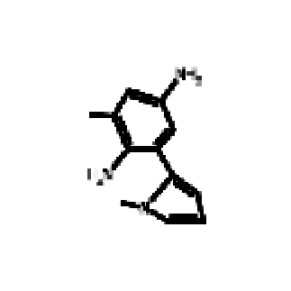 Cc1cc(N)cc(-c2cccn2C)c1N